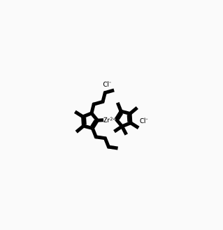 CCCCC1=[C]([Zr+2][C]2=C(C)C(C)=C(C)C2(C)C)C(CCCC)C(C)=C1C.[Cl-].[Cl-]